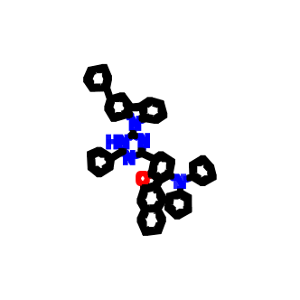 c1ccc(C2=NC(c3ccc(N(c4ccccc4)c4ccccc4)c4c3oc3cc5ccccc5cc34)=NC(n3c4ccccc4c4cc(-c5ccccc5)ccc43)N2)cc1